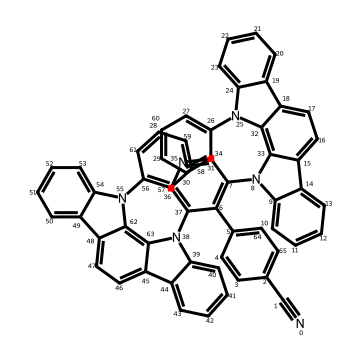 N#Cc1ccc(-c2c(-n3c4ccccc4c4ccc5c6ccccc6n(-c6ccccc6)c5c43)cncc2-n2c3ccccc3c3ccc4c5ccccc5n(-c5ccccc5)c4c32)cc1